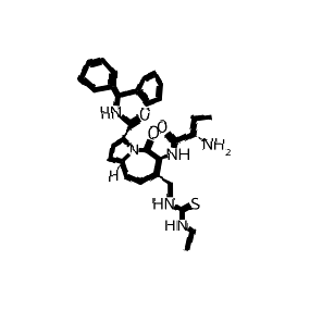 CCNC(=S)NC[C@H]1CC[C@H]2CC[C@@H](C(=O)NC(c3ccccc3)c3ccccc3)N2C(=O)[C@H]1NC(=O)[C@@H](N)CC